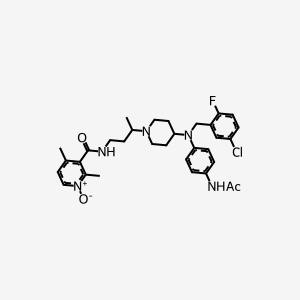 CC(=O)Nc1ccc(N(Cc2cc(Cl)ccc2F)C2CCN(C(C)CCNC(=O)c3c(C)cc[n+]([O-])c3C)CC2)cc1